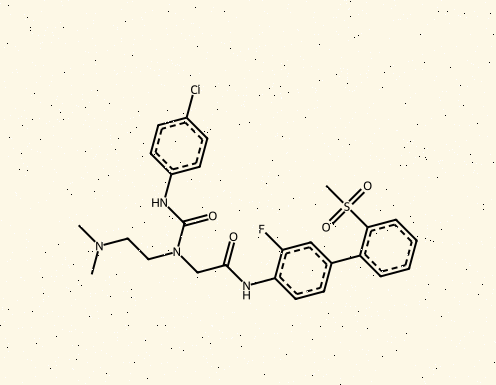 CN(C)CCN(CC(=O)Nc1ccc(-c2ccccc2S(C)(=O)=O)cc1F)C(=O)Nc1ccc(Cl)cc1